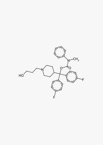 CN(C(=O)OC(c1ccc(F)cc1)(c1ccc(F)cc1)C1CCN(CCCO)CC1)c1ccccc1